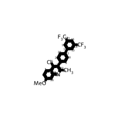 COc1ccc2c(Cl)c(-c3ccc(-c4cc(C(F)(F)F)cc(C(F)(F)F)c4)cc3)c(C)nc2c1